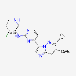 COc1cc2ncc(-c3ccnc(N[C@H]4CNCC[C@@H]4F)n3)n2nc1C1CC1